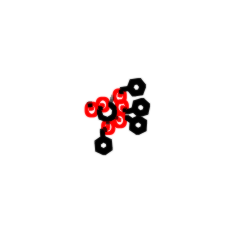 COC1C[C@H](OCc2ccccc2)[C@H](OCc2ccccc2)[C@H](OCc2ccccc2)[C@@H](COCc2ccccc2)O1